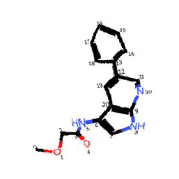 COCC(=O)Nc1c[nH]c2ncc(-c3ccccc3)cc12